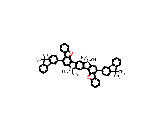 CC1(C)c2ccccc2-c2cc(-c3cc4c(c5oc6ccccc6c35)-c3cc5c(cc3[Si]4(C)C)-c3c(cc(-c4ccc6c(c4)-c4ccccc4C6(C)C)c4c3oc3ccccc34)[Si]5(C)C)ccc21